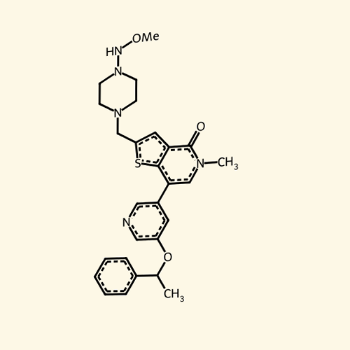 CONN1CCN(Cc2cc3c(=O)n(C)cc(-c4cncc(OC(C)c5ccccc5)c4)c3s2)CC1